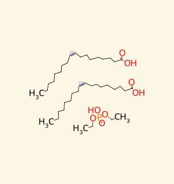 CCCCCCCC/C=C\CCCCCCCC(=O)O.CCCCCCCC/C=C\CCCCCCCC(=O)O.CCOP(=O)(O)OCC